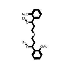 CCOC(CCSCCC(OCC)c1ccccc1OC(C)=O)c1ccccc1OC(C)=O